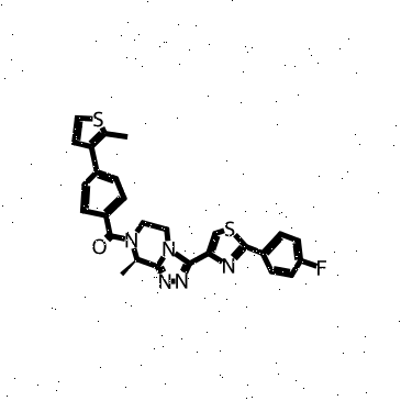 Cc1sccc1-c1ccc(C(=O)N2CCn3c(-c4csc(-c5ccc(F)cc5)n4)nnc3[C@H]2C)cc1